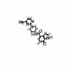 Cn1cc(C(=O)NC2CCN(c3nccc(C#N)n3)CC2)c2cc[nH]c2c1=O